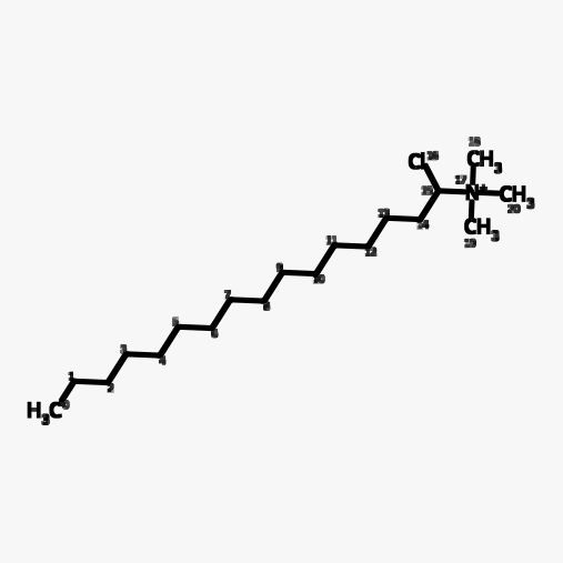 CCCCCCCCCCCCCCCC(Cl)[N+](C)(C)C